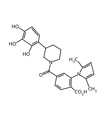 Cc1ccc(C)n1-c1cc(C(=O)N2CCCC(c3ccc(O)c(O)c3O)C2)ccc1C(=O)O